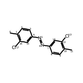 Cc1ccc(N=Nc2ccc(C)c(Cl)c2)cc1Cl